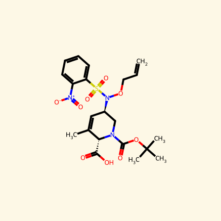 C=CCON([C@@H]1C=C(C)[C@@H](C(=O)O)N(C(=O)OC(C)(C)C)C1)S(=O)(=O)c1ccccc1[N+](=O)[O-]